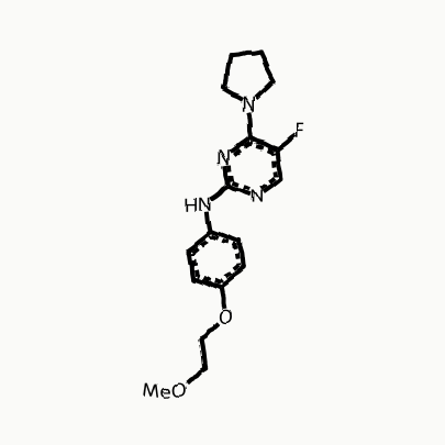 COCCOc1ccc(Nc2ncc(F)c(N3CCCC3)n2)cc1